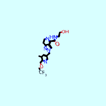 Cc1cc(Cn2cc3c(C(=O)NCCO)nccc3n2)cnc1COCC(F)(F)F